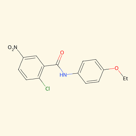 CCOc1ccc(NC(=O)c2cc([N+](=O)[O-])ccc2Cl)cc1